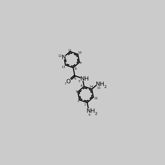 Nc1ccc(NC(=O)c2cccnc2)c(N)c1